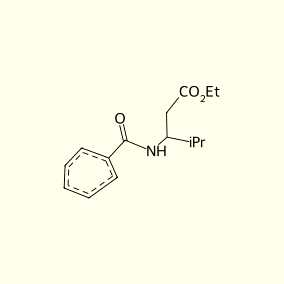 CCOC(=O)CC(NC(=O)c1ccccc1)C(C)C